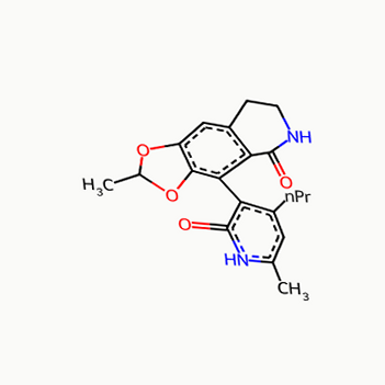 CCCc1cc(C)[nH]c(=O)c1-c1c2c(cc3c1C(=O)NCC3)OC(C)O2